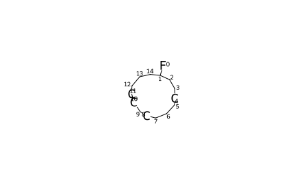 FC1CCCCCCCCCCCCC1